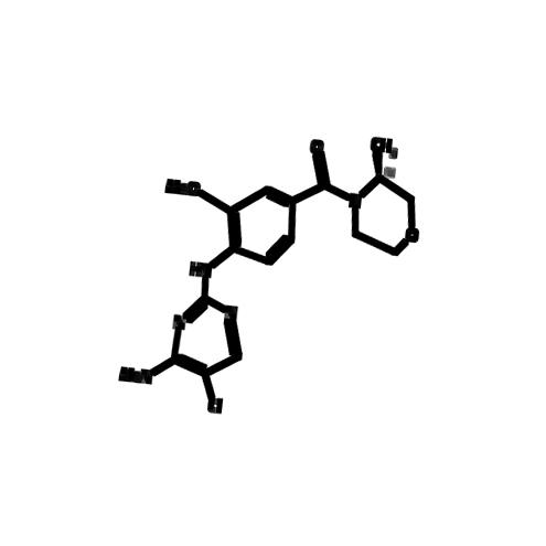 CNc1nc(Nc2ccc(C(=O)N3CCOC[C@@H]3C)cc2OC)ncc1Cl